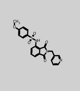 COc1ccc(S(=O)(=O)Nc2cccc3c2C(=O)N(Cc2cccnc2)C3=O)cc1